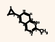 Cc1ncc2cc(C3CC3)ccc2n1